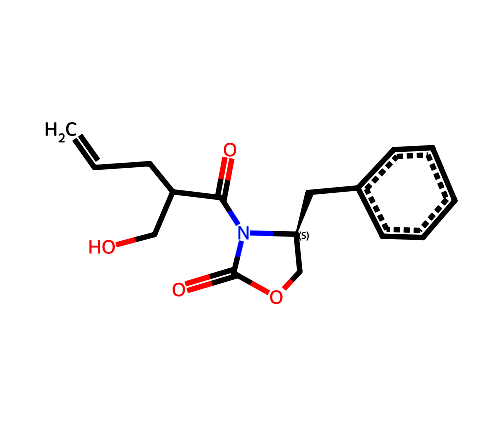 C=CCC(CO)C(=O)N1C(=O)OC[C@@H]1Cc1ccccc1